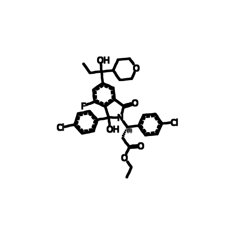 CCOC(=O)C[C@@H](c1ccc(Cl)cc1)N1C(=O)c2cc(C(O)(CC)C3CCOCC3)cc(F)c2C1(O)c1ccc(Cl)cc1